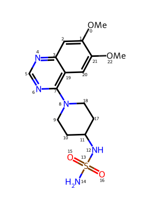 COc1cc2ncnc(N3CCC(NS(N)(=O)=O)CC3)c2cc1OC